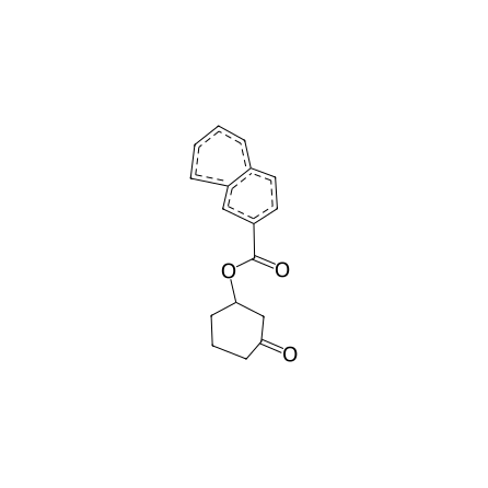 O=C1CCCC(OC(=O)c2ccc3ccccc3c2)C1